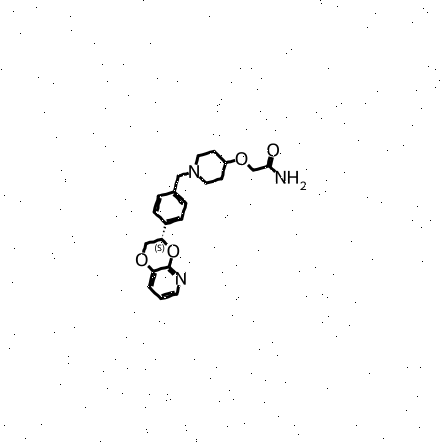 NC(=O)COC1CCN(Cc2ccc([C@H]3COc4cccnc4O3)cc2)CC1